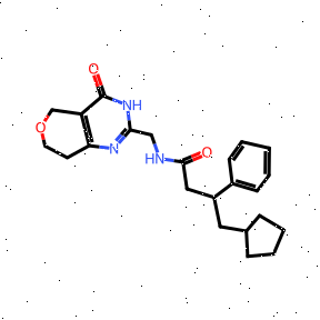 O=C(CC(CC1CCCC1)c1ccccc1)NCc1nc2c(c(=O)[nH]1)COCC2